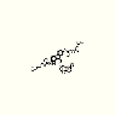 COCCCOCC(=O)Nc1ccc2c(c1)C(COC(=O)ON1C(=O)CCC1=O)c1cc(NC(=O)COC(C)CCO)ccc1-2